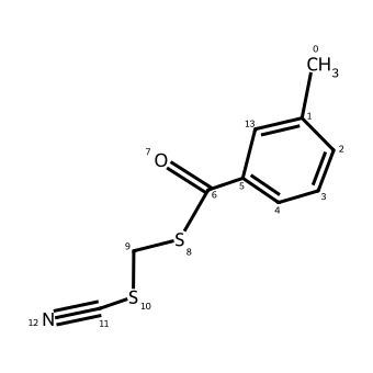 Cc1cccc(C(=O)SCSC#N)c1